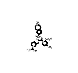 CC1=CCN(C(=O)[C@H](CC2=CCCN(C(=N)N)C2)NS(=O)(=O)c2ccc3c(c2)CCN(C)CC3)[C@@H](C(=O)O)C1